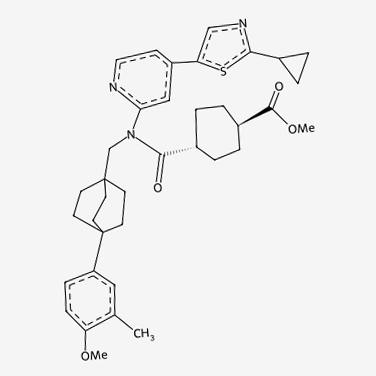 COc1ccc(C23CCC(CN(c4cc(-c5cnc(C6CC6)s5)ccn4)C(=O)[C@H]4CC[C@H](C(=O)OC)CC4)(CC2)CC3)cc1C